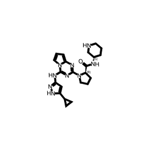 O=C(N[C@H]1CCCNC1)[C@H]1CCCN1c1nc(Nc2cc(C3CC3)[nH]n2)n2cccc2n1